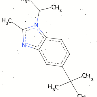 Cc1nc2cc(C(C)(C)C)ccc2n1C(C)C